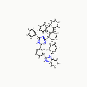 c1ccc(-c2nc(-c3cccc(-c4nc5ccccc5n4-c4ccccc4)c3)nc(-c3cccc4c5ccccc5c5ccccc5c34)n2)cc1